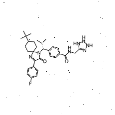 CC(C)[C@H](c1ccc(C(=O)NCC2=NNNN2)cc1)N1C(=O)C(c2ccc(F)cc2)=NC12CCC(C(C)(C)C)CC2